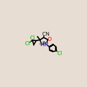 CCCC(C)(C(C#N)C(=O)Nc1ccc(Cl)cc1)C1CC1(Cl)Cl